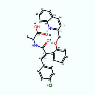 CC(NC(=O)/C(=C/c1ccc(Cl)cc1)c1ccccc1OCc1ccc2ccccc2n1)C(=O)O